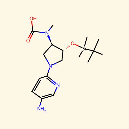 CN(C(=O)O)[C@@H]1CN(c2ccc(N)cn2)C[C@H]1O[Si](C)(C)C(C)(C)C